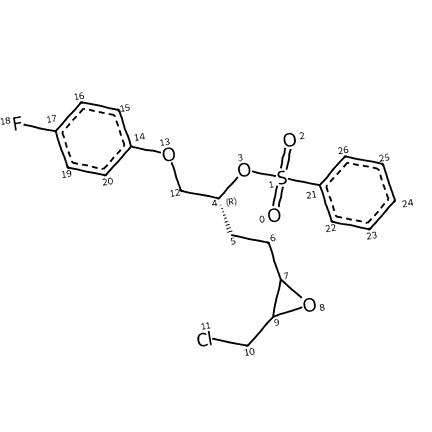 O=S(=O)(O[C@H](CCC1OC1CCl)COc1ccc(F)cc1)c1ccccc1